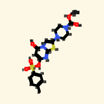 Cc1ccc(S(=O)(=O)Oc2cc(=O)n3cc(N4CCN(C(=O)OC(C)(C)C)CC4)sc3n2)cc1